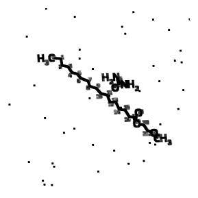 CCCCCCCCCCCCCCCCCC(=O)OCCOC.NC(N)=O